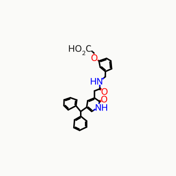 O=C(O)COc1cccc(CNC(=O)Cc2cc(C(c3ccccc3)c3ccccc3)c[nH]c2=O)c1